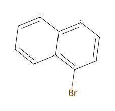 Brc1cc[c]c2[c]cccc12